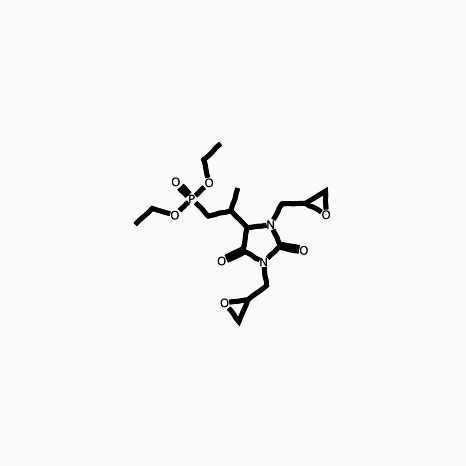 CCOP(=O)(CC(C)C1C(=O)N(CC2CO2)C(=O)N1CC1CO1)OCC